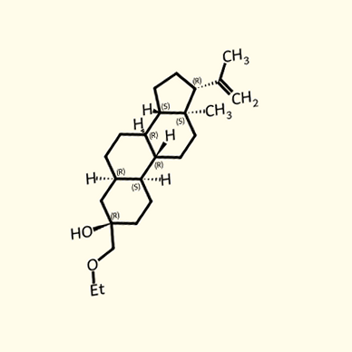 C=C(C)[C@H]1CC[C@H]2[C@@H]3CC[C@@H]4C[C@@](O)(COCC)CC[C@@H]4[C@H]3CC[C@]12C